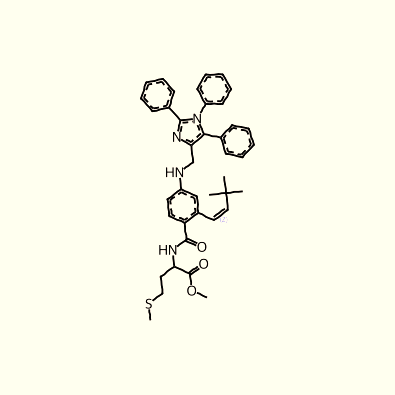 COC(=O)C(CCSC)NC(=O)c1ccc(NCc2nc(-c3ccccc3)n(-c3ccccc3)c2-c2ccccc2)cc1/C=C\C(C)(C)C